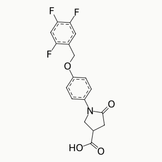 O=C(O)C1CC(=O)N(c2ccc(OCc3cc(F)c(F)cc3F)cc2)C1